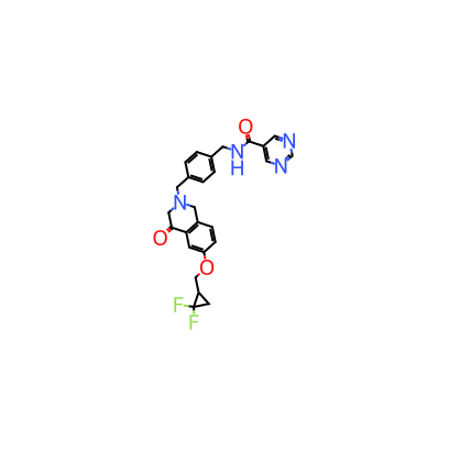 O=C(NCc1ccc(CN2CC(=O)c3cc(OCC4CC4(F)F)ccc3C2)cc1)c1cncnc1